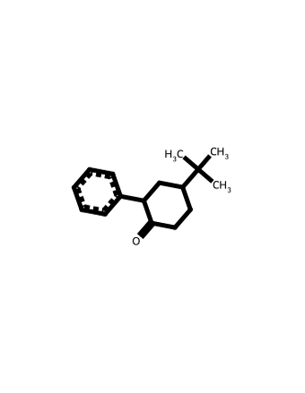 CC(C)(C)C1CCC(=O)C(c2ccccc2)C1